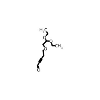 CCOC(COCCC#CC=O)OCC